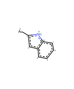 [Au][c]1cc2ccccc2[nH]1